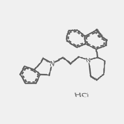 Cl.c1ccc2c(c1)CN(CCCN1CCCCC1c1cccc3ccccc13)C2